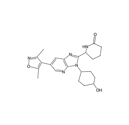 Cc1noc(C)c1-c1cnc2c(c1)nc(C1CCCC(=O)N1)n2C1CCC(O)CC1